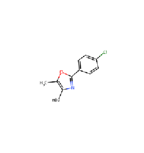 [CH2]CCCc1nc(-c2ccc(Cl)cc2)oc1C